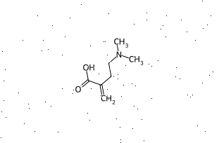 C=C([CH]CN(C)C)C(=O)O